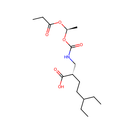 CCC(=O)O[C@@H](C)OC(=O)NC[C@H](CCC(CC)CC)C(=O)O